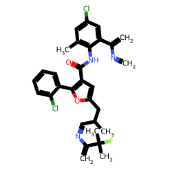 C=NC(=C)c1cc(Cl)cc(C)c1NC(=O)c1cc(CC(C)/C=N\C(=C)C(C)(C)F)oc1-c1ccccc1Cl